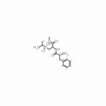 COC(=O)C(CP(=O)(O)C(C)N)NC(=O)[C@@H](N)Cc1ccccc1